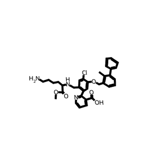 COC(=O)C(CCCCN)NCc1cc(Cl)c(OCc2cccc(-c3ccccc3)c2C)cc1-c1ncccc1C(=O)O